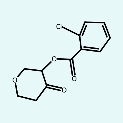 O=C(OC1COCCC1=O)c1ccccc1Cl